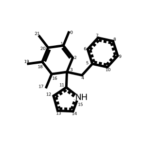 CC1=CC(Cc2ccccc2)(c2ccc[nH]2)C(C)C(C)=C1C